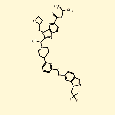 CC(C)OC(=O)c1ccc2nc(C(C)N3CCC(c4cccc(OCc5ccc6cnn(CC(F)(F)F)c6c5)n4)CC3)n(C[C@@H]3CCO3)c2n1